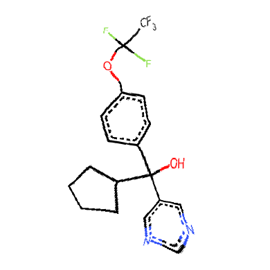 OC(c1ccc(OC(F)(F)C(F)(F)F)cc1)(c1cncnc1)C1CCCC1